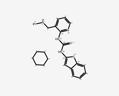 C1CCCCC1.CC(C)NCc1cccnc1NC(=O)Nc1cc2ccccc2s1